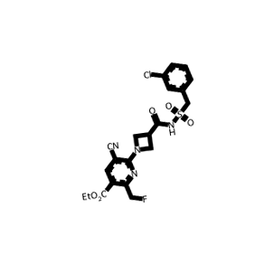 CCOC(=O)c1cc(C#N)c(N2CC(C(=O)NS(=O)(=O)Cc3cccc(Cl)c3)C2)nc1CF